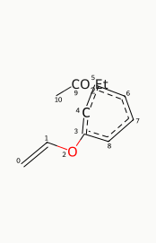 C=COc1ccccc1.CCOC(C)=O